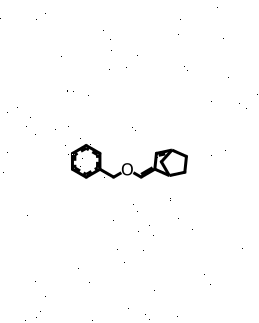 C1=C2CCC(C2)C1=COCc1ccccc1